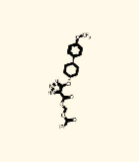 CC(C)C(=O)OCOC(=O)c1[nH]nnc1O[C@H]1CC[C@H](c2ccc(OC(F)(F)F)cc2)CC1